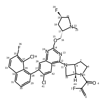 C=C(F)C(=O)N1CCC2[C@H]1CN2c1nc(OC[C@@H]2C[C@@H](F)CN2C)nc2cc(-c3cccc4ccc(F)c(Cl)c34)c(Cl)cc12